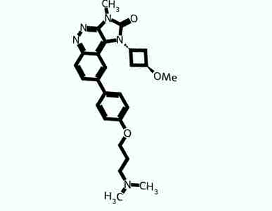 CO[C@H]1C[C@H](n2c(=O)n(C)c3nnc4ccc(-c5ccc(OCCCN(C)C)cc5)cc4c32)C1